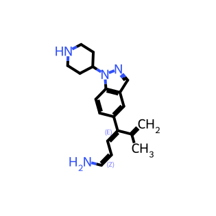 C=C(C)/C(=C\C=C/N)c1ccc2c(cnn2C2CCNCC2)c1